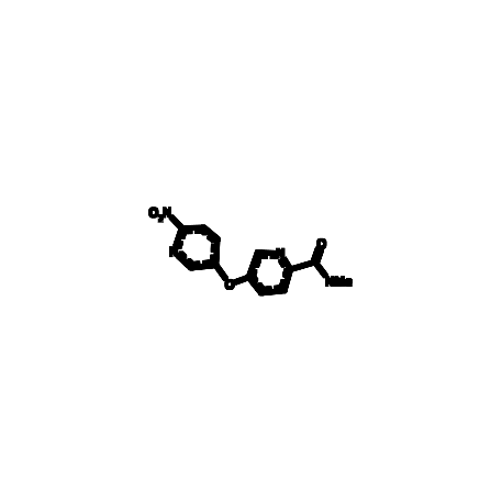 CNC(=O)c1ccc(Oc2ccc([N+](=O)[O-])nc2)cn1